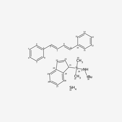 C(C=Cc1ccccc1)=Cc1ccccc1.CC(C)(C)[NH][Ti]([CH3])([CH3])[CH]1C=Cc2ccccc21.[SiH4]